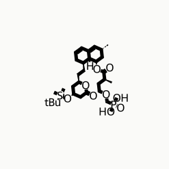 C[C@H]1C=C2C=CC[C@H](CC[C@@H]3C[C@@H](O[Si](C)(C)C(C)(C)C)CC(=O)O3)[C@H]2[C@@H](OC(=O)[C@@H](C)CCOCP(=O)(O)O)C1